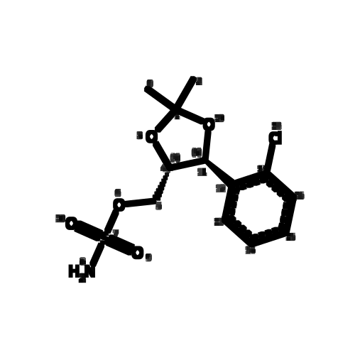 CC1(C)O[C@@H](COS(N)(=O)=O)[C@H](c2ccccc2Cl)O1